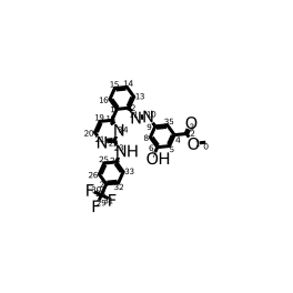 COC(=O)c1cc(O)cc(/N=N/c2ccccc2-c2ccnc(Nc3ccc(C(F)(F)F)cc3)n2)c1